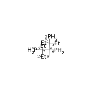 CCC(P)(CC)C(C)(P)C(P)(CC)CC